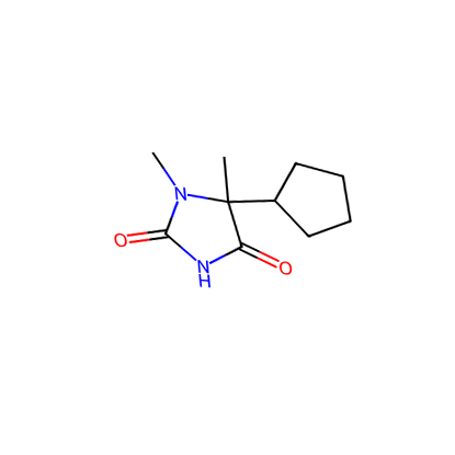 CN1C(=O)NC(=O)C1(C)C1CCCC1